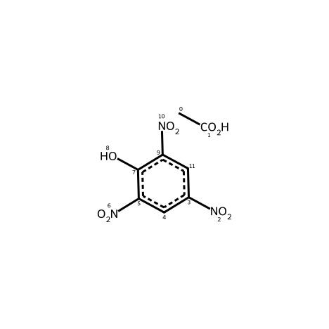 CC(=O)O.O=[N+]([O-])c1cc([N+](=O)[O-])c(O)c([N+](=O)[O-])c1